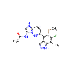 CSc1c(F)c(C)c2[nH]ncc2c1C(=N)/C=C\c1nc(NC(C)=O)c[nH]1